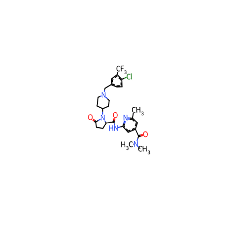 Cc1cc(C(=O)N(C)C)cc(NC(=O)[C@H]2CCC(=O)N2C2CCN(Cc3ccc(Cl)c(C(F)(F)F)c3)CC2)n1